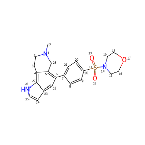 CN1CCc2c(c(-c3ccc(S(=O)(=O)N4CCOCC4)cc3)cc3cc[nH]c23)C1